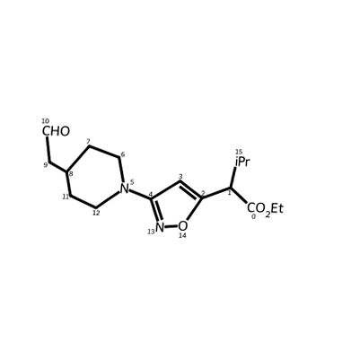 CCOC(=O)C(c1cc(N2CCC(CC=O)CC2)no1)C(C)C